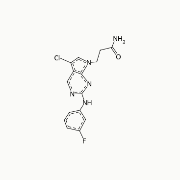 NC(=O)CCn1cc(Cl)c2cnc(Nc3cccc(F)c3)nc21